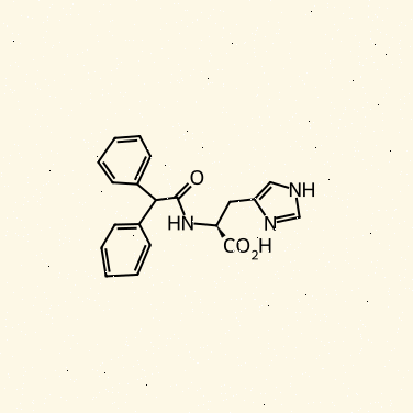 O=C(N[C@@H](Cc1c[nH]cn1)C(=O)O)C(c1ccccc1)c1ccccc1